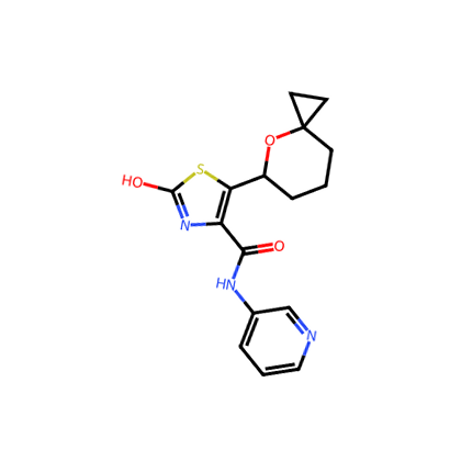 O=C(Nc1cccnc1)c1nc(O)sc1C1CCCC2(CC2)O1